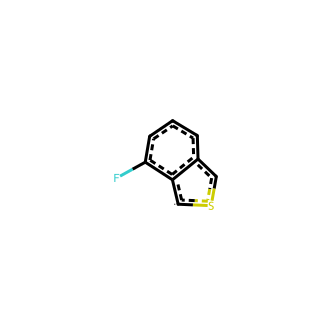 Fc1cccc2cs[c]c12